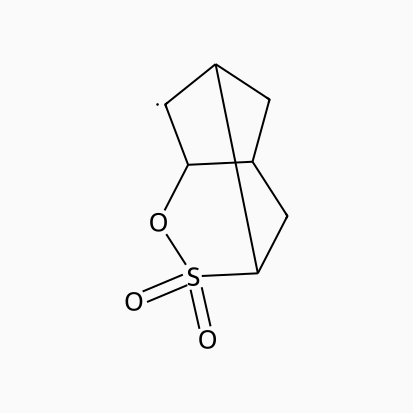 O=S1(=O)OC2[CH]C3CC2CC31